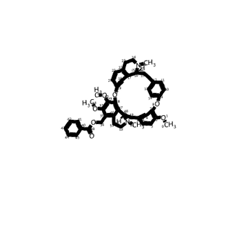 COc1ccc2cc1Oc1ccc(cc1)C[C@H]1c3cc(ccc3CCN1C)Oc1c(OC)c(OC)c(COC(=O)c3ccccc3)c3c1[C@H](C2)N(C)CC3